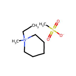 CC[N+]1(C)CCCCC1.CS(=O)(=O)[O-]